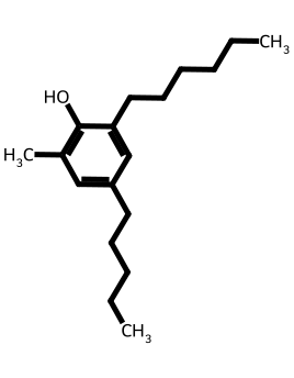 CCCCCCc1cc(CCCCC)cc(C)c1O